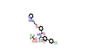 O=C(O)C(F)(F)F.O=C(O)CC(NC(=O)c1cccc(OCCCNc2ccccn2)c1)c1ccc(-c2ccc(Cl)cc2)cc1